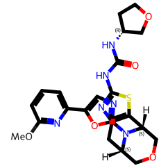 COc1cccc(-c2cnc(N3[C@@H]4COC[C@H]3c3sc(NC(=O)N[C@@H]5CCOC5)nc3C4)o2)n1